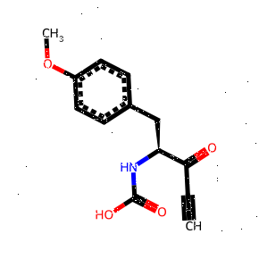 C#CC(=O)[C@H](Cc1ccc(OC)cc1)NC(=O)O